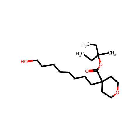 CCC(C)(CC)OC(=O)C1(CCCCCCCCO)CCOCC1